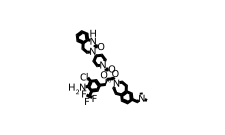 CN(C)Cc1ccc2c(c1)CCN(C(=O)[C@@H](Cc1cc(Cl)c(N)c(C(F)(F)F)c1)OC(=O)N1CCC(N3CCc4ccccc4NC3=O)CC1)CC2